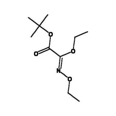 CCON=C(OCC)C(=O)OC(C)(C)C